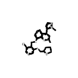 Cc1cc(-c2ccnn2C)c2cccc(OCc3c(Cl)cncc3SCC3CCCO3)c2n1